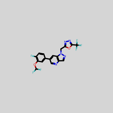 Fc1ccc(-c2cnc3cnn(Cc4nnc(C(F)(F)F)o4)c3c2)cc1OC(F)F